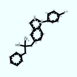 OC(Cc1ccccc1)(Cc1ccc2c(cnn2-c2ccc(F)cc2)c1)C(F)(F)F